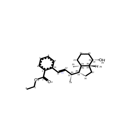 CCOC(=O)c1ccccc1/C=C/[C@@H](C)[C@H]1CC[C@H]2[C@@H](O)CCC[C@]12C